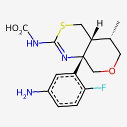 C[C@@H]1COC[C@]2(c3cc(N)ccc3F)N=C(NC(=O)O)SC[C@H]12